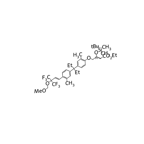 CCOC(=O)C[C@@H](COc1ccc(C(CC)(CC)c2ccc(C=CC(OCOC)(C(F)(F)F)C(F)(F)F)c(C)c2)cc1C)O[Si](C)(C)C(C)(C)C